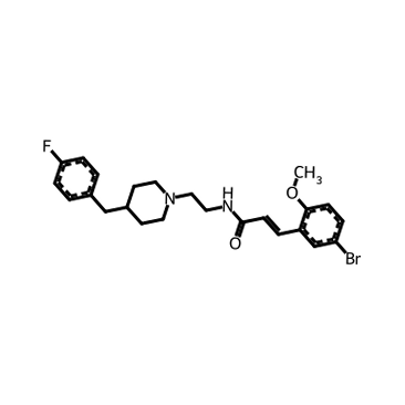 COc1ccc(Br)cc1C=CC(=O)NCCN1CCC(Cc2ccc(F)cc2)CC1